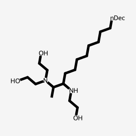 CCCCCCCCCCCCCCCCCCC(NCCO)C(C)N(CCO)CCO